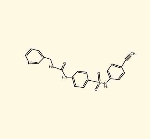 C#Cc1ccc(NS(=O)(=O)c2ccc(NC(=O)NCc3cccnc3)cc2)cc1